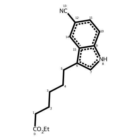 CCOC(=O)CCCCCc1c[nH]c2ccc(C#N)cc12